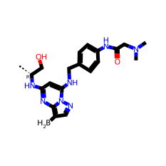 Bc1cnn2c(NCc3ccc(NC(=O)CN(C)C)cc3)cc(N[C@H](C)CO)nc12